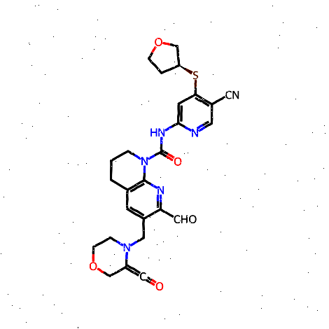 N#Cc1cnc(NC(=O)N2CCCc3cc(CN4CCOCC4=C=O)c(C=O)nc32)cc1S[C@H]1CCOC1